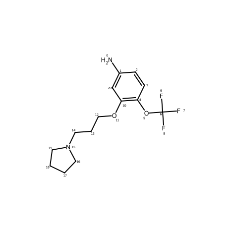 Nc1ccc(OC(F)(F)F)c(OCCCN2CCCC2)c1